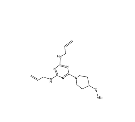 C=CCNc1nc(NCC=C)nc(N2CCC(OCCCC)CC2)n1